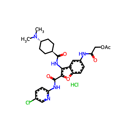 CC(=O)OCC(=O)Nc1ccc2oc(C(=O)Nc3ccc(Cl)cn3)c(NC(=O)[C@H]3CC[C@H](N(C)C)CC3)c2c1.Cl